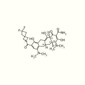 CN(C)c1cc(C(=O)N2CC3(C2)CC(F)(F)C3)c(O)c2c1C[C@H]1C[C@H]3[C@H](N(C)C)C(O)=C(C(N)=O)C(=O)[C@@]3(O)C(O)=C1C2